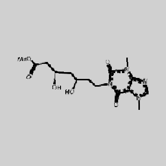 COC(=O)C[C@H](O)C[C@H](O)CCn1c(=O)c2c(ncn2C)n(C)c1=O